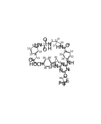 CC(C)(CNC(=O)C(=O)Nc1cccc(CC(=O)O)c1)CNC(=O)c1ccc(Nc2nc(NC3(c4ccc(Cl)cc4)CC3)nc(OCC(F)(F)F)n2)cc1